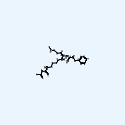 C=C(C)OC(=O)NCCCCN/C(=N\CCOC)NC(=O)OCc1ccccc1